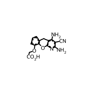 N#Cc1c(N)nc2c(c1N)Cc1cccc(OCC(=O)O)c1O2